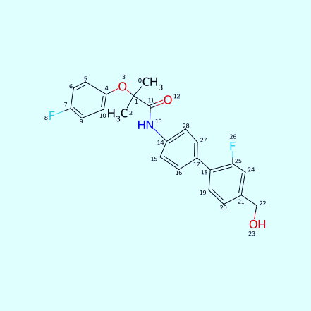 CC(C)(Oc1ccc(F)cc1)C(=O)Nc1ccc(-c2ccc(CO)cc2F)cc1